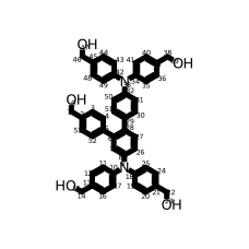 OCc1ccc(-c2cc(N(c3ccc(CO)cc3)c3ccc(CO)cc3)ccc2-c2ccc(N(c3ccc(CO)cc3)c3ccc(CO)cc3)cc2)cc1